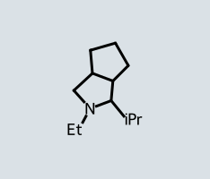 CCN1CC2CCCC2C1C(C)C